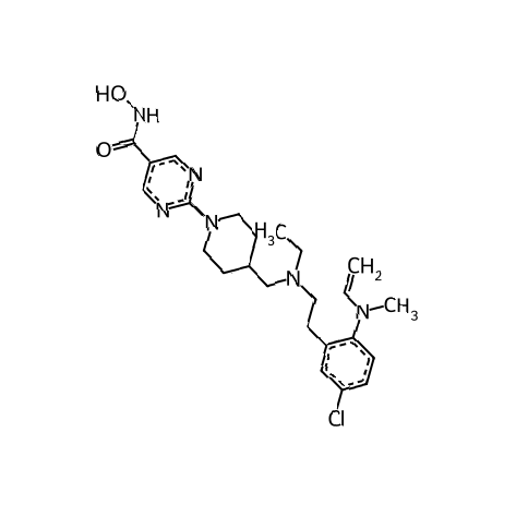 C=CN(C)c1ccc(Cl)cc1CCN(CC)CC1CCN(c2ncc(C(=O)NO)cn2)CC1